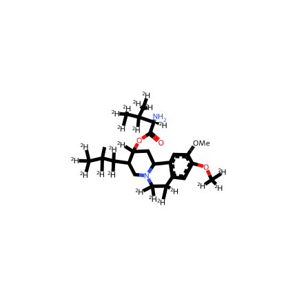 [2H]C([2H])([2H])Oc1cc2c(cc1OC)C1CC([2H])(OC(=O)[C@@]([2H])(N)C([2H])(C([2H])([2H])[2H])C([2H])([2H])[2H])C(C([2H])([2H])C([2H])(C)C([2H])([2H])[2H])CN1C([2H])([2H])C2([2H])[2H]